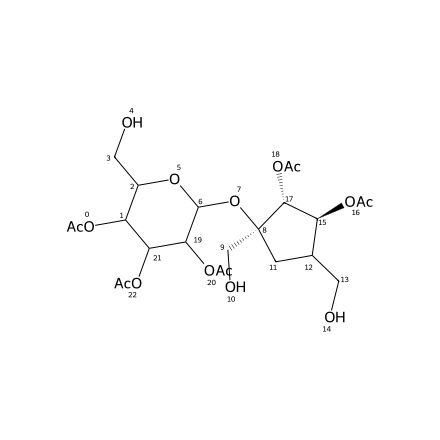 CC(=O)OC1C(CO)OC(O[C@]2(CO)CC(CO)[C@H](OC(C)=O)[C@H]2OC(C)=O)C(OC(C)=O)C1OC(C)=O